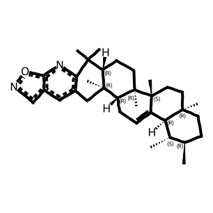 C[C@H]1[C@H](C)CC[C@]2(C)CC[C@]3(C)C(=CC[C@@H]4[C@@]5(C)Cc6cc7cnoc7nc6C(C)(C)[C@@H]5CC[C@]43C)[C@H]12